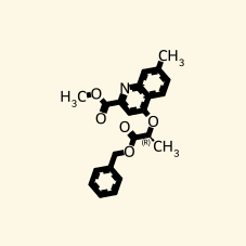 COC(=O)c1cc(O[C@H](C)C(=O)OCc2ccccc2)c2ccc(C)cc2n1